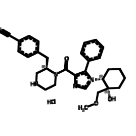 COC[C@]1(O)CCCC[C@H]1n1cnc(C(=O)N2CCNC[C@H]2Cc2ccc(C#N)cc2)c1-c1ccccc1.Cl